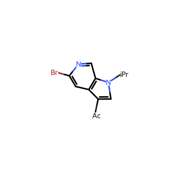 CC(=O)c1cn(C(C)C)c2cnc(Br)cc12